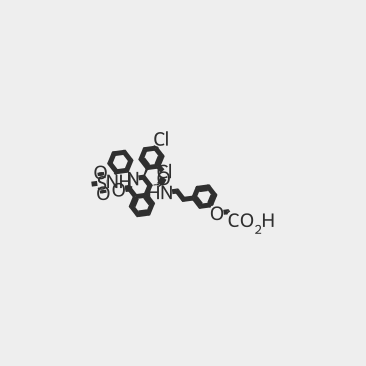 CS(=O)(=O)N[C@H]1CCCC[C@@H]1N1C(=O)c2ccccc2[C@@H](C(=O)NCCc2cccc(OCC(=O)O)c2)[C@@H]1C1=CCC(Cl)C=C1Cl